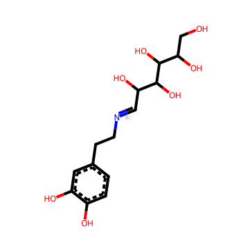 OCC(O)C(O)C(O)C(O)/C=N/CCc1ccc(O)c(O)c1